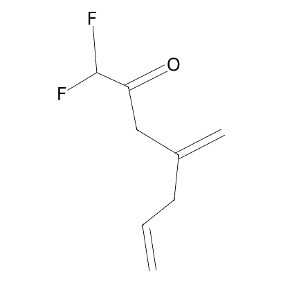 C=CCC(=C)CC(=O)C(F)F